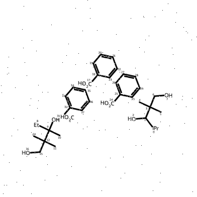 CC(C)C(O)C(C)(C)CO.CCC(C)(O)C(C)(C)CO.O=C(O)c1ccccc1.O=C(O)c1ccccc1.O=C(O)c1ccccc1